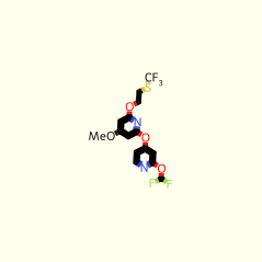 COc1cc(OCCSC(F)(F)F)nc(Oc2ccnc(OC(F)F)c2)c1